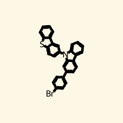 Brc1ccc(-c2ccc3c4ccccc4n(-c4ccc5sc6ccccc6c5c4)c3c2)cc1